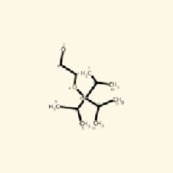 CC(C)[Si](OCC[O])(C(C)C)C(C)C